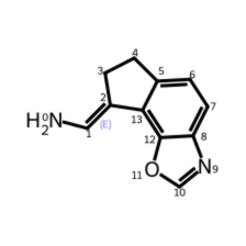 N/C=C1\CCc2ccc3ncoc3c21